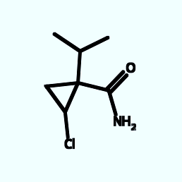 CC(C)C1(C(N)=O)CC1Cl